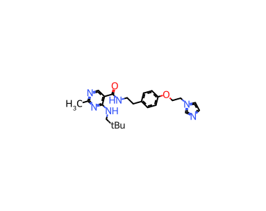 Cc1ncc(C(=O)NCCc2ccc(OCCn3ccnc3)cc2)c(NCC(C)(C)C)n1